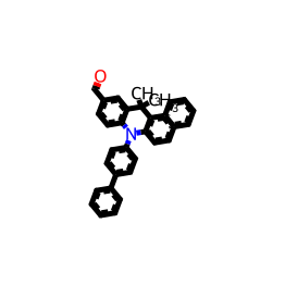 CC1(C)c2cc(C=O)ccc2N(c2ccc(-c3ccccc3)cc2)c2ccc3ccccc3c21